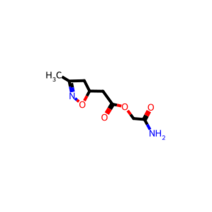 CC1=NOC(CC(=O)OCC(N)=O)C1